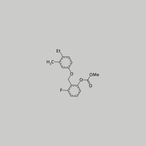 CCc1ccc(OCc2c(F)cccc2OC(=O)OC)cc1C